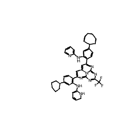 FC(F)(F)C1=NC2=NC(c3ccc(C4CCCCC4)cc3NC3=CC=CCN3)=CC3=CC(c4ccc(C5CCCCCC5)cc4Nc4ccccn4)=NC(=N1)N32